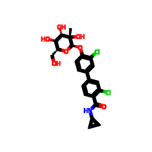 C[C@@]1(O)[C@@H](Oc2ccc(-c3ccc(C(=O)NC4CC4)c(Cl)c3)cc2Cl)O[C@H](CO)[C@@H](O)[C@@H]1O